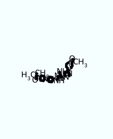 CC(=O)N1CCCN(c2cc(-n3nc(Nc4ccc(N5CCN(C(=O)C(C)C)CC5)cc4)nc3N)ncn2)CC1